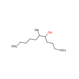 CCCCCCCCCCCC(O)C(CCCCC=O)N=O